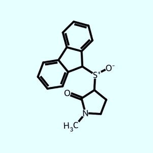 CN1CCC([S+]([O-])C2c3ccccc3-c3ccccc32)C1=O